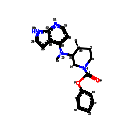 C[C@@H]1CCN(C(=O)Oc2ccccc2)CC1N(C)c1ccnc2[nH]ccc12